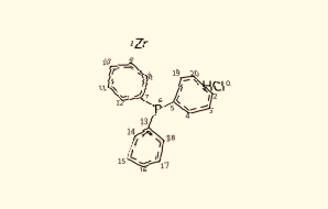 Cl.[Zr].c1ccc(P(c2ccccc2)c2ccccc2)cc1